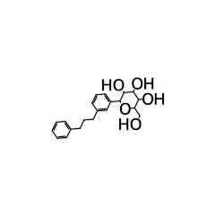 OCC1OC(c2cccc(CCCc3ccccc3)c2)C(O)C(O)C1O